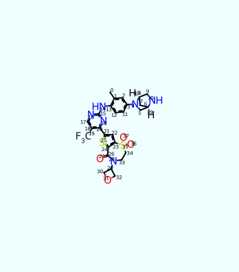 Cc1cc(N2C[C@H]3C[C@@H]2CN3)ccc1Nc1ncc(C(F)(F)F)c(-c2cc3c(s2)C(=O)N(C2COC2)CCS3(=O)=O)n1